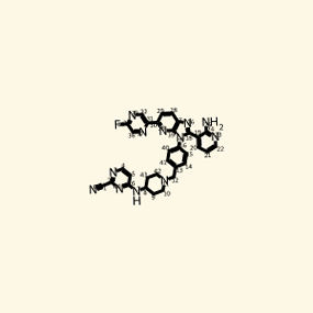 N#Cc1nccc(NC2CCN(Cc3ccc(-n4c(-c5cccnc5N)nc5ccc(-c6cnc(F)cn6)nc54)cc3)CC2)n1